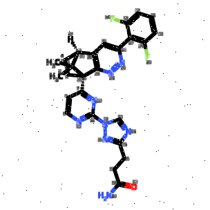 CC1(C)[C@H]2CC[C@]1(c1ccnc(-n3cnc(CCC(N)=O)n3)n1)c1nnc(-c3c(F)cccc3F)cc12